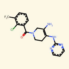 NC1=C(Nc2ncccn2)CCN(C(=O)c2cccc(C(F)(F)F)c2Cl)C1